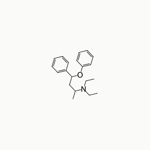 CCN(CC)C(C)CC(Oc1ccccc1)c1ccccc1